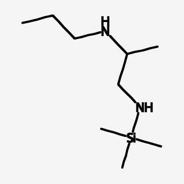 CCCNC(C)CN[Si](C)(C)C